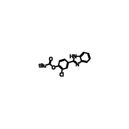 CC(C)(C)C(=O)Oc1ccc(-c2nc3ccccc3[nH]2)cc1Cl